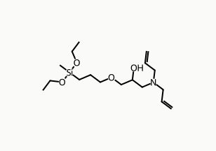 C=CCN(CC=C)CC(O)COCCC[Si](C)(OCC)OCC